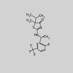 CC(C)C1(C)SC(N[C@@H](C)c2cc(C(F)(F)F)ccc2F)=NC1=O